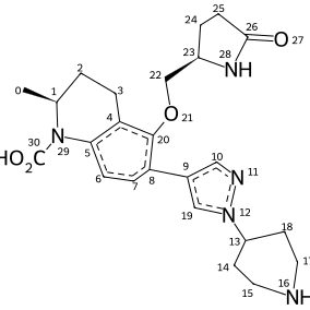 C[C@H]1CCc2c(ccc(-c3cnn(C4CCNCC4)c3)c2OC[C@H]2CCC(=O)N2)N1C(=O)O